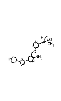 CC(C)(C#Cc1cc(OCc2cc(-c3cnc(C4CCNCC4)s3)cnc2N)ccn1)OI